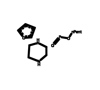 C1CNCCN1.CCCCCOP=O.c1ccoc1